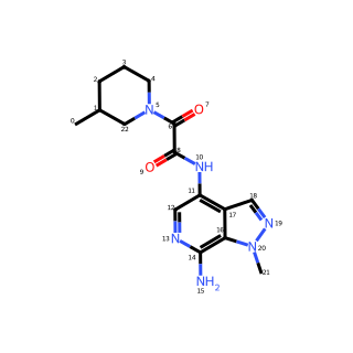 CC1CCCN(C(=O)C(=O)Nc2cnc(N)c3c2cnn3C)C1